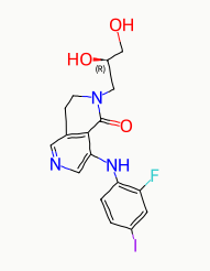 O=C1c2c(cncc2Nc2ccc(I)cc2F)CCN1C[C@@H](O)CO